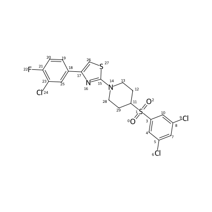 O=S(=O)(c1cc(Cl)cc(Cl)c1)C1CCN(c2nc(-c3ccc(F)c(Cl)c3)cs2)CC1